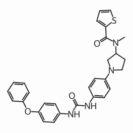 CN(C(=O)c1cccs1)C1CCN(c2ccc(NC(=O)Nc3ccc(Oc4ccccc4)cc3)cc2)C1